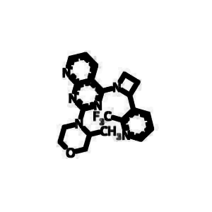 CC1COCCN1c1nc(N2CCC2c2cccnc2C(F)(F)F)c2cccnc2n1